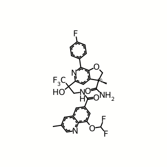 Cc1cnc2c(OC(F)F)cc(C(=O)NCC(O)(c3cc4c(c(-c5ccc(F)cc5)n3)OC[C@]4(C)C(N)=O)C(F)(F)F)cc2c1